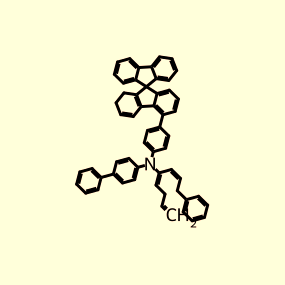 C=CC/C=C(\C=C/Cc1ccccc1)N(c1ccc(-c2ccccc2)cc1)c1ccc(-c2cccc3c2C2=C(CCC=C2)C32c3ccccc3-c3ccccc32)cc1